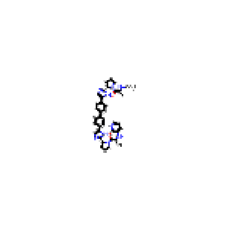 CC(C)[C@H](Nc1cccnc1)C(=O)N1CCC[C@H]1c1ncc(-c2ccc(-c3ccc(-c4cnc([C@@H]5CCCN5C(=O)[C@H](C)NC(=O)O)[nH]4)cc3)cc2)[nH]1